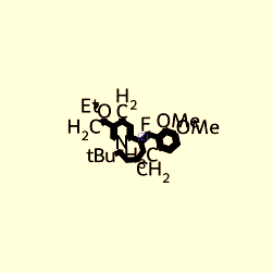 C=C1C/C(=C(/F)c2c(C)ccc(OC)c2OC)C2=CC(=C)C(C(=C)OCC)=CN2C(C(C)(C)C)C1